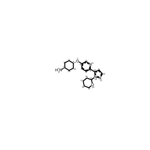 N[C@H]1CC[C@H](Oc2ccc(-c3ccnn3C3CCCCO3)nc2)CC1